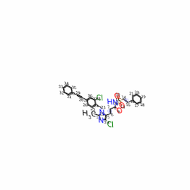 Cc1nc(Cl)c(/C=C/C(=O)NS(=O)(=O)/C=C/c2ccccc2)n1Cc1ccc(C#Cc2ccccc2)cc1Cl